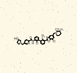 Cc1c(-c2nc3cc(CN4CCCC[C@H]4C(=O)O)cc(Cl)c3o2)cccc1-c1cccc(NC(=O)c2ccc(CN3CC[C@H](O)C3)cn2)c1Cl